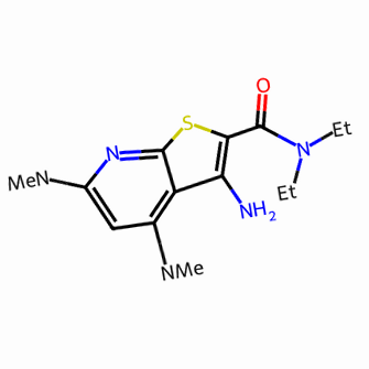 CCN(CC)C(=O)c1sc2nc(NC)cc(NC)c2c1N